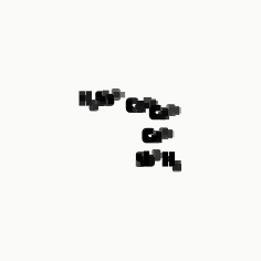 [Ca+2].[Ca+2].[Ca+2].[SbH6-3].[SbH6-3]